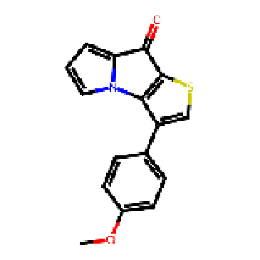 COc1ccc(-c2csc3c2-n2cccc2C3=O)cc1